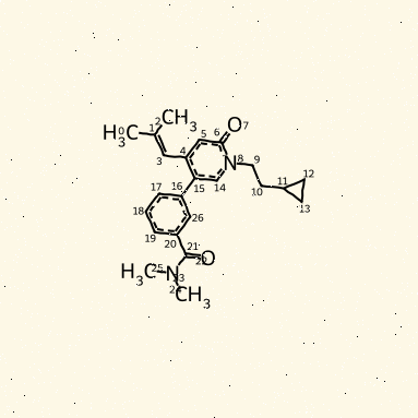 CC(C)=Cc1cc(=O)n(CCC2CC2)cc1-c1cccc(C(=O)N(C)C)c1